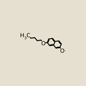 CCCCCOc1ccc2ccc([O])cc2c1